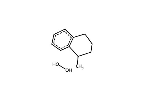 CC1CCCc2ccccc21.OO